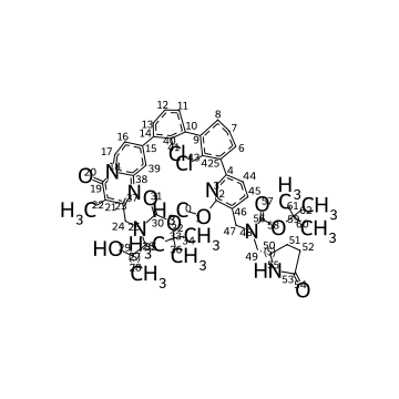 COc1nc(-c2cccc(-c3cccc(-c4ccn5c(=O)c(C)c(CN(C[C@H](C)O)C(=O)OC(C)(C)C)nc5c4)c3Cl)c2Cl)ccc1CN(C[C@@H]1CCC(=O)N1)C(=O)OC(C)(C)C